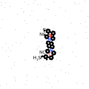 Cc1cc(C[SiH3])ccc1-c1cccc2c1oc1c(N(c3ccc(C#N)cc3)c3ccc4ccc5c(N(c6ccc(C#N)cc6)c6cccc7c6oc6c(-c8ccc([Si](C)(C)C)cc8C)cccc67)ccc6ccc3c4c65)cccc12